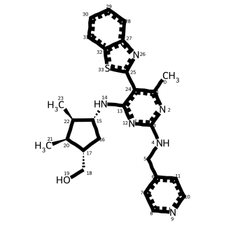 Cc1nc(NCc2ccncc2)nc(N[C@@H]2C[C@H](CO)[C@@H](C)[C@H]2C)c1-c1nc2ccccc2s1